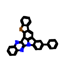 c1ccc(-c2ccc3c(c2)c2cc4c5ccccc5sc4c4c5nc6ccccc6nc5n3c24)cc1